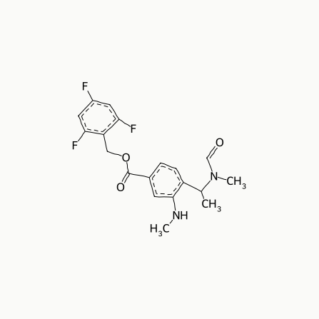 CNc1cc(C(=O)OCc2c(F)cc(F)cc2F)ccc1C(C)N(C)C=O